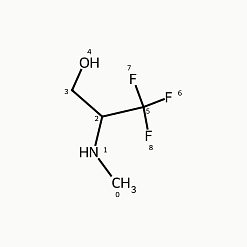 CNC(CO)C(F)(F)F